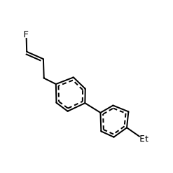 CCc1ccc(-c2ccc(CC=CF)cc2)cc1